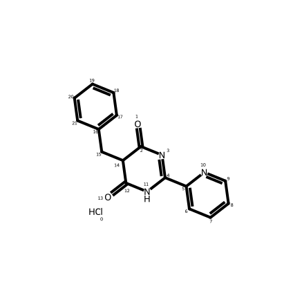 Cl.O=C1N=C(c2ccccn2)NC(=O)C1Cc1ccccc1